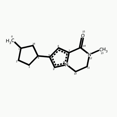 CC1CCC(c2cc3n(c2)CCN(C)C3=O)C1